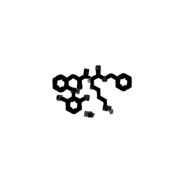 Br.NCCCS[C@H](NC(=O)Cc1ccccc1Nc1c(Cl)cccc1Cl)C(=O)OCc1ccccc1